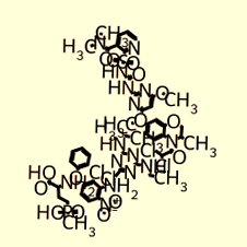 CC1COc2ccccc2N1C(=O)C(Cl)Cl.CCNc1nc(Cl)nc(NC(C)C)n1.COc1cc(OC)nc(NC(=O)NS(=O)(=O)c2ncccc2C(=O)N(C)C)n1.CP(=O)(O)CCC(N)C(=O)O.Nc1c([N+](=O)[O-])ccc(Oc2ccccc2)c1Cl